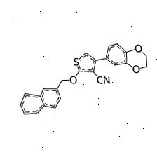 N#Cc1c(-c2ccc3c(c2)OCCO3)csc1OCc1ccc2ccccc2c1